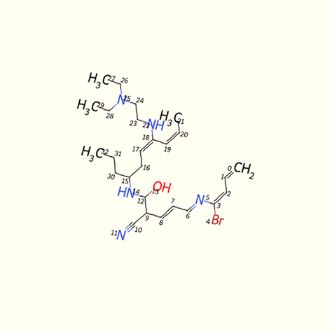 C=C/C=C(Br)\N=C\C=CC(C#N)C(O)NC(C/C=C(\C=C/C)NCCN(CC)CC)CCC